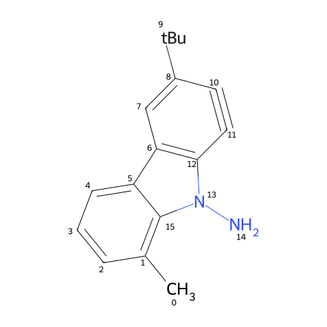 Cc1cccc2c3cc(C(C)(C)C)c#cc3n(N)c12